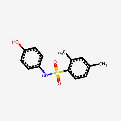 Cc1ccc(S(=O)(=O)Nc2ccc(O)cc2)c(C)c1